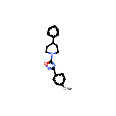 COc1ccc(-c2noc(N3CCC(c4ccccc4)CC3)n2)cc1